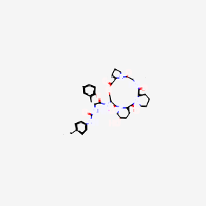 CCc1ccc(NC(=O)N[C@@H](Cc2cccc(C)c2)C(=O)N[C@@H]2C(=O)N3C[C@H](O)CC[C@H]3C(=O)N3CCCC[C@H]3C(=O)N[C@@H](C)C(=O)N3CCC[C@H]3C(=O)O[C@H]2C)cc1